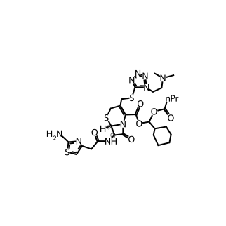 CCCC(=O)OC(OC(=O)C1=C(CSc2nnnn2CCN(C)C)CS[C@H]2[C@H](NC(=O)Cc3csc(N)n3)C(=O)N12)C1CCCCC1